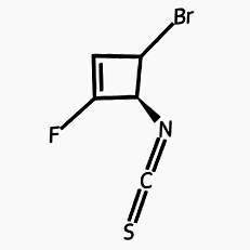 FC1=CC(Br)[C@H]1N=C=S